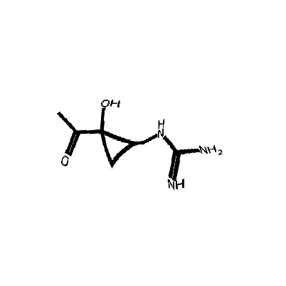 CC(=O)C1(O)CC1NC(=N)N